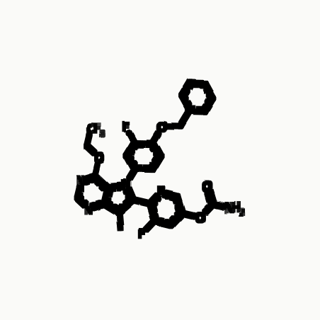 Cc1c(-c2ncc(OC(N)=O)cc2F)n(-c2ccc(OCc3ccccc3)c(F)c2)c2c(OCC(F)(F)F)ncnc12